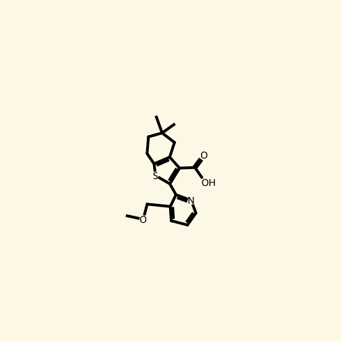 COCc1cccnc1-c1sc2c(c1C(=O)O)CC(C)(C)CC2